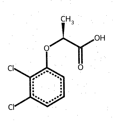 C[C@H](Oc1cccc(Cl)c1Cl)C(=O)O